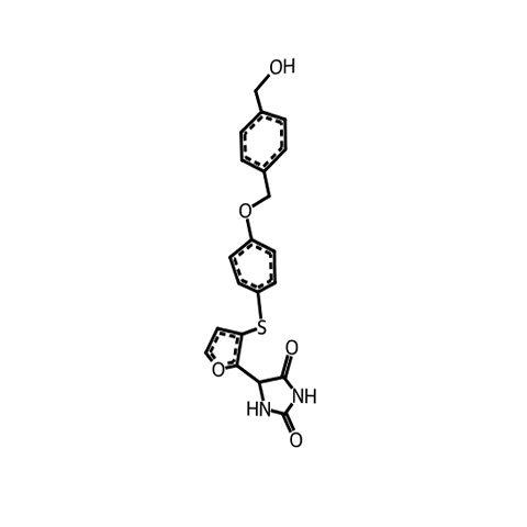 O=C1NC(=O)C(c2occc2Sc2ccc(OCc3ccc(CO)cc3)cc2)N1